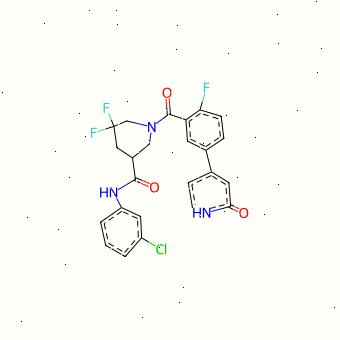 O=C(Nc1cccc(Cl)c1)C1CN(C(=O)c2cc(-c3cc[nH]c(=O)c3)ccc2F)CC(F)(F)C1